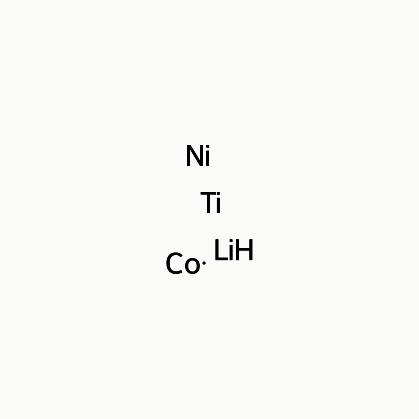 [Co].[LiH].[Ni].[Ti]